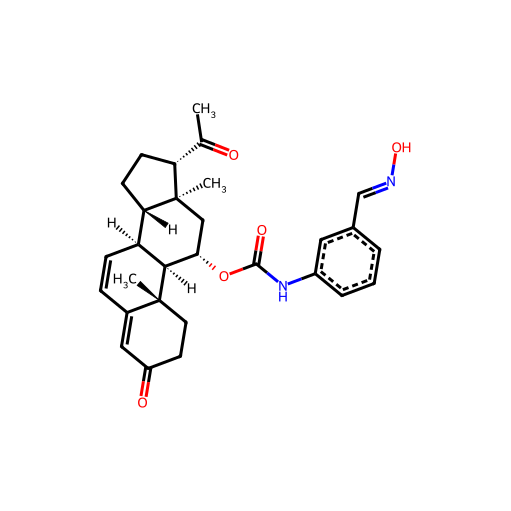 CC(=O)[C@H]1CC[C@H]2[C@@H]3C=CC4=CC(=O)CC[C@@]4(C)[C@@H]3[C@@H](OC(=O)Nc3cccc(/C=N/O)c3)C[C@]12C